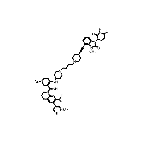 CN/C=C(\C=N)c1cc2c(cc1C(F)F)N(C(=N)C1=C(NC3CCN(CCCCN4CCC(C#Cc5cccc6c5n(C)c(=O)n6C5CCC(=O)NC5=O)CC4)CC3)CCN(C(C)=O)C1)CCC2